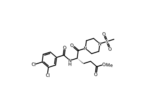 COC(=O)CC[C@H](NC(=O)c1ccc(Cl)c(Cl)c1)C(=O)N1CCN(S(C)(=O)=O)CC1